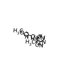 COc1ccc(C2CCN(C(=O)c3c(C)oc4ncnc(N(I)C5(C)CC5)c34)CC2)nc1